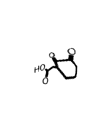 O=C1CCCC(C(=O)O)C1=O